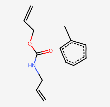 C=CCNC(=O)OCC=C.Cc1ccccc1